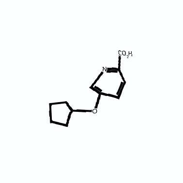 O=C(O)c1ccc(OC2CCCC2)cn1